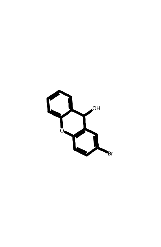 OC1c2ccccc2Oc2ccc(Br)cc21